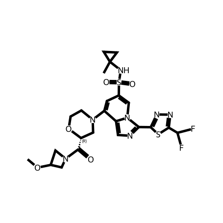 COC1CN(C(=O)[C@H]2CN(c3cc(S(=O)(=O)NC4(C)CC4)cn4c(-c5nnc(C(F)F)s5)ncc34)CCO2)C1